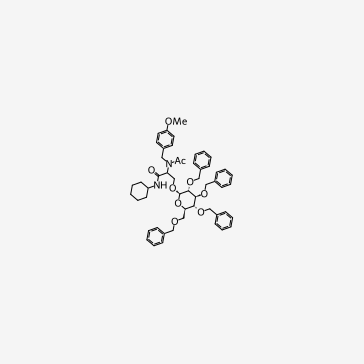 COc1ccc(CN(C(C)=O)C(CO[C@@H]2O[C@H](COCc3ccccc3)[C@@H](OCc3ccccc3)[C@H](OCc3ccccc3)[C@H]2OCc2ccccc2)C(=O)NC2CCCCC2)cc1